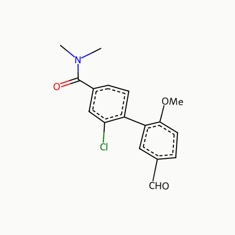 COc1ccc(C=O)cc1-c1ccc(C(=O)N(C)C)cc1Cl